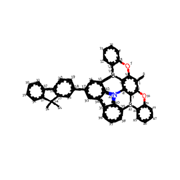 Cc1c2c3c4c5c1Oc1ccccc1B5c1cc(-c5ccc6c(c5)C(C)(C)c5ccccc5-6)cc5c6cccc(c6n-4c15)B3c1ccccc1O2